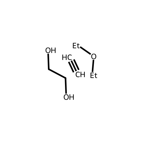 C#C.CCOCC.OCCO